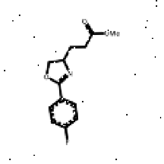 COC(=O)CCC1COC(c2ccc(F)cc2)=N1